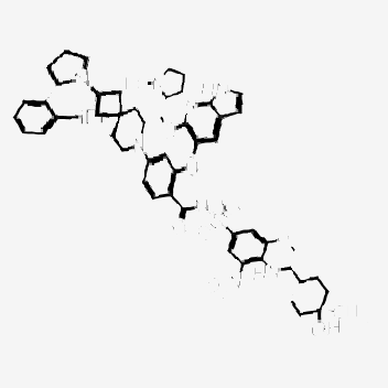 CC(C)c1ccccc1[C@@H]1CCCN1C1CC2(CCN(c3ccc(C(=O)NS(=O)(=O)c4cc5c(c([N+](=O)[O-])c4)N[C@@H]([C@H]4CC[C@](C)(O)CC4)CO5)c(Oc4cc5cc[nH]c5nc4OC[C@H]4CCCN4C)c3)CC2)C1